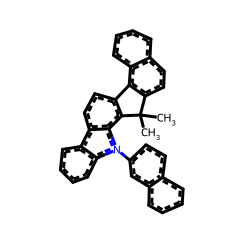 CC1(C)c2ccc3ccccc3c2-c2ccc3c4ccccc4n(-c4ccc5ccccc5c4)c3c21